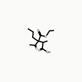 CCCC(C(C)=O)(C(=O)OCC)C(C)C(=O)O